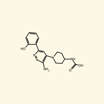 Nc1nnc(-c2ccccc2O)cc1N1CCC(NC(=O)O)CC1